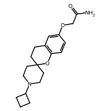 NC(=O)COc1ccc2c(c1)CCC1(CCN(C3CCC3)CC1)O2